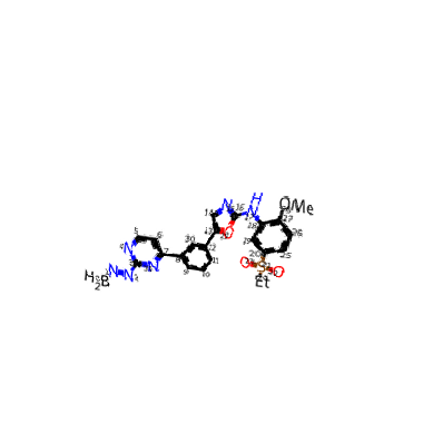 BN=Nc1nccc(-c2cccc(-c3cnc(Nc4cc(S(=O)(=O)CC)ccc4OC)o3)c2)n1